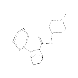 CN1CCC(NC(=O)C2C3CCC(O3)C2c2ccncc2)CC1